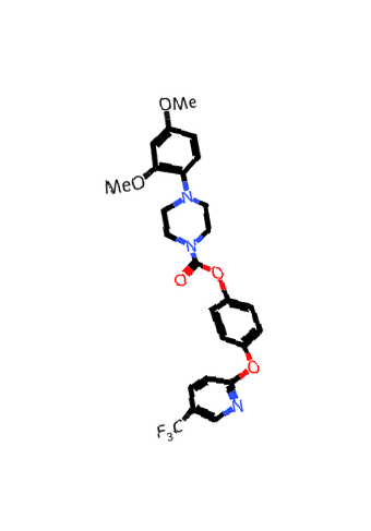 COc1ccc(N2CCN(C(=O)Oc3ccc(Oc4ccc(C(F)(F)F)cn4)cc3)CC2)c(OC)c1